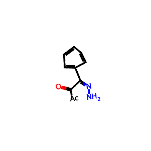 CC(=O)C(=O)C(=NN)c1ccccc1